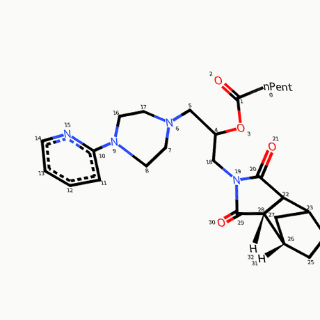 CCCCCC(=O)OC(CN1CCN(c2ccccn2)CC1)CN1C(=O)C2C3CC[C@@H](C3)[C@@H]2C1=O